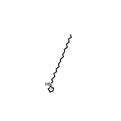 CCCCCCCCCCCCCCCCCCCCNN1CCCC1